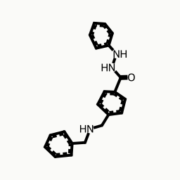 O=C(NNc1ccccc1)c1ccc(CNCc2ccccc2)cc1